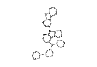 c1ccc(-c2cccc(N(c3ccccc3)c3cccc4c3c3ccccc3n4-c3ccc4sc5ccccc5c4c3)c2)cc1